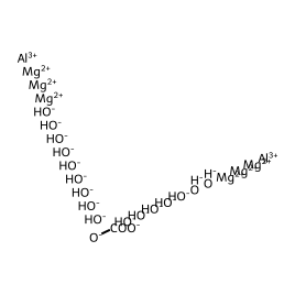 O=C([O-])[O-].[Al+3].[Al+3].[Mg+2].[Mg+2].[Mg+2].[Mg+2].[Mg+2].[Mg+2].[OH-].[OH-].[OH-].[OH-].[OH-].[OH-].[OH-].[OH-].[OH-].[OH-].[OH-].[OH-].[OH-].[OH-].[OH-].[OH-]